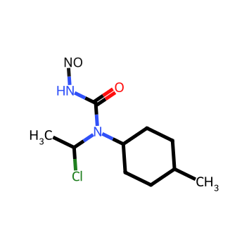 CC1CCC(N(C(=O)NN=O)C(C)Cl)CC1